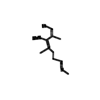 CC/C=C(C)\C(NC)=C(\C)CC/C=N/C